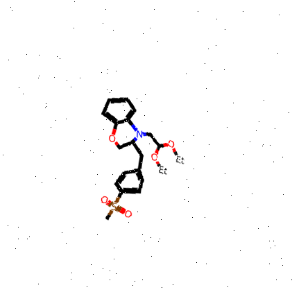 CCOC(CN1c2ccccc2OCC1Cc1ccc(S(C)(=O)=O)cc1)OCC